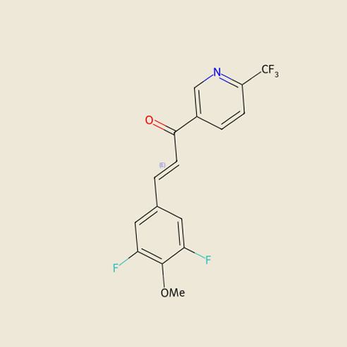 COc1c(F)cc(/C=C/C(=O)c2ccc(C(F)(F)F)nc2)cc1F